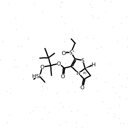 CC[S+]([O-])C1=C(C(=O)OC(C)(O[SiH](C)C)C(C)(C)C)N2C(=O)C[C@H]2S1